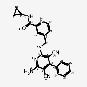 N#Cc1c(N)nc(SCc2ccnc(C(=O)NC3CC3)c2)c(C#N)c1-c1ccccc1